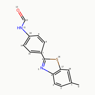 Cc1ccc2nc(-c3ccc(N[C]=O)cc3)sc2c1